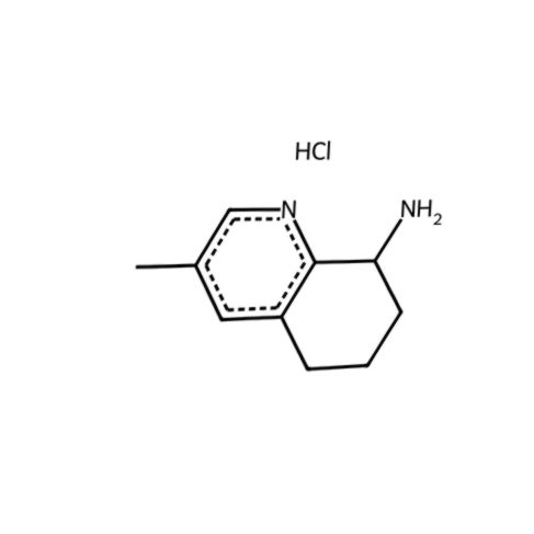 Cc1cnc2c(c1)CCCC2N.Cl